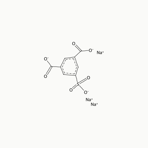 O=C([O-])c1cc(C(=O)[O-])cc(S(=O)(=O)[O-])c1.[Na+].[Na+].[Na+]